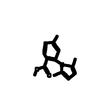 COC(=O)c1ccc(C)cc1-n1c(C)ccc1C